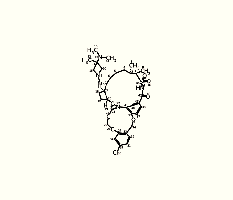 C[C@@H]1[C@@H](C)CCC[C@@H](CN2CC(C)(N(C)C)C2)[C@@H]2CC[C@H]2CN2CCCCc3cc(Cl)ccc3COc3ccc(cc32)C(=O)NS1(=O)=O